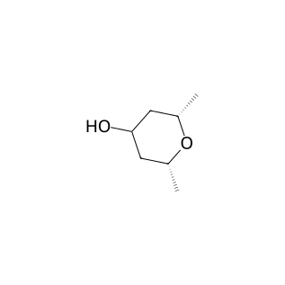 C[C@@H]1CC(O)C[C@H](C)O1